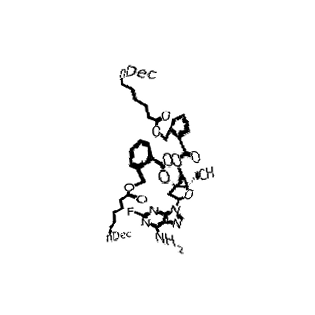 C#C[C@]12O[C@@H](n3cnc4c(N)nc(F)nc43)C[C@@]1(OC(=O)c1ccccc1COC(=O)CCCCCCCCCCCCCCC)C2OC(=O)c1ccccc1COC(=O)CCCCCCCCCCCCCCC